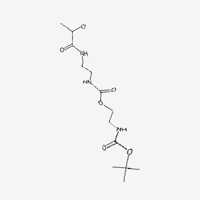 CC(Cl)C(=O)NCCNC(=O)OCCNC(=O)OC(C)(C)C